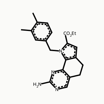 CCOC(=O)c1cc2c(n1Cc1ccc(C)c(C)c1)-c1nc(N)ncc1CC2